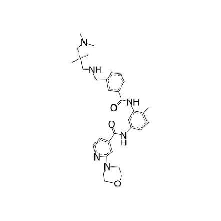 Cc1ccc(NC(=O)c2ccnc(N3CCOCC3)c2)cc1NC(=O)c1cccc(CNCC(C)(C)CN(C)C)c1